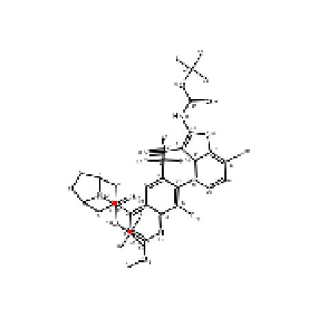 COc1nc(N2CC3CCC(C2)N3C(=O)OC(C)(C)C)c2cc(C(F)(F)F)c(-c3ccc(F)c4sc(NC(=O)OC(C)(C)C)c(C#N)c34)c(F)c2n1